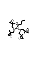 CCCC(=O)N(N(CC1(C)CO1)CC1(C)CO1)N(CC1(C)CO1)CC1(C)CO1